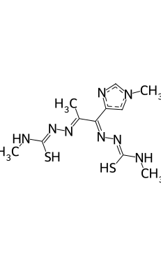 CN/C(S)=N/N=C(C)/C(=N/N=C(\S)NC)c1cn(C)cn1